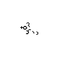 CC(C)(C)c1ccc(N(C(=O)C2CCCN2)C(C(=O)NCC(=O)N2CCCC2)c2cccnc2)cc1